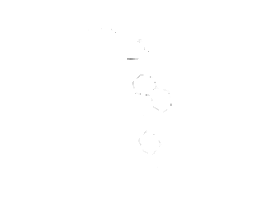 C[C@H](NC(=O)c1ccc2c(Oc3ccc(C(F)(F)F)cc3)cccc2c1)C1CN(C2CC2)C1